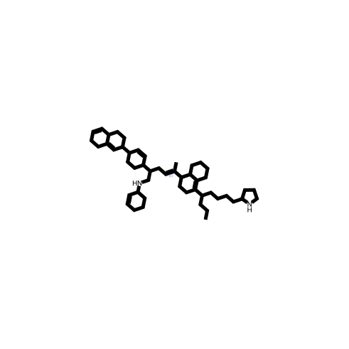 CCCC(CCCCC1CCCN1)C1=C2CCCCC2C(/C(C)=C/CC(CNC2C=CCCC2)C2C=CC(C3C=C4CCC=CC4CC3)CC2)CC1